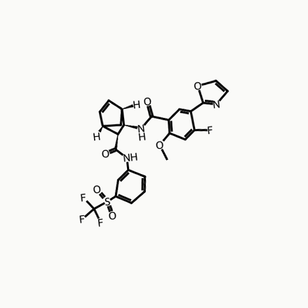 COc1cc(F)c(-c2ncco2)cc1C(=O)N[C@H]1[C@@H](C(=O)Nc2cccc(S(=O)(=O)C(F)(F)F)c2)[C@@H]2C=C[C@H]1C2